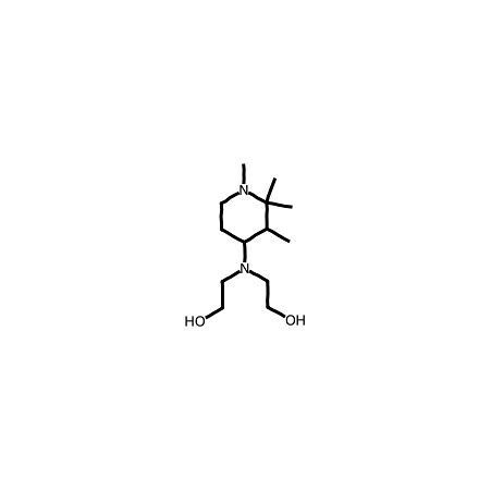 CC1C(N(CCO)CCO)CCN(C)C1(C)C